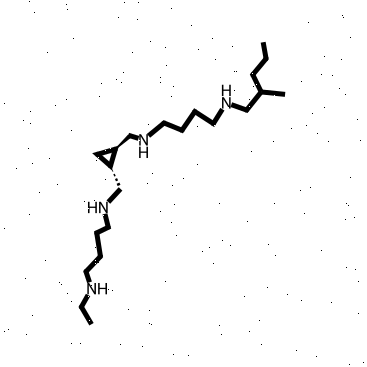 CCCC(C)CNCCCCNC[C@@H]1C[C@H]1CNCCCCNCC